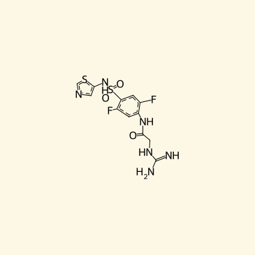 N=C(N)NCC(=O)Nc1cc(F)c(S(=O)(=O)Nc2cncs2)cc1F